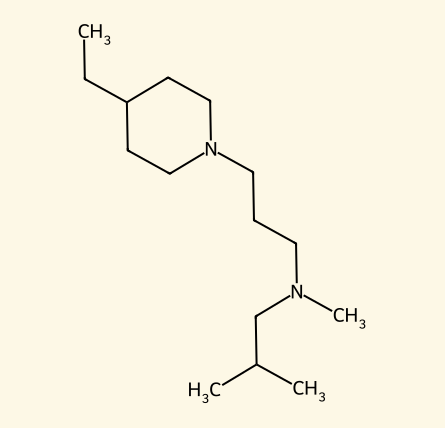 CCC1CCN(CCCN(C)CC(C)C)CC1